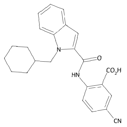 N#Cc1ccc(NC(=O)c2cc3ccccc3n2CC2CCCCC2)c(C(=O)O)c1